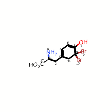 N[C@@H](CC1=CC=C(O)C(Br)(Br)C1)C(=O)O